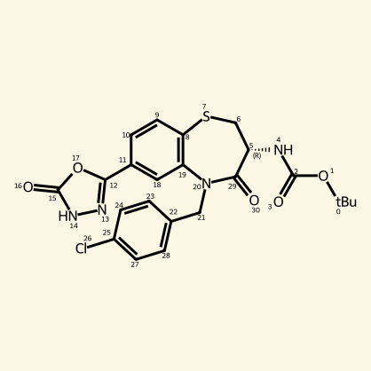 CC(C)(C)OC(=O)N[C@H]1CSc2ccc(-c3n[nH]c(=O)o3)cc2N(Cc2ccc(Cl)cc2)C1=O